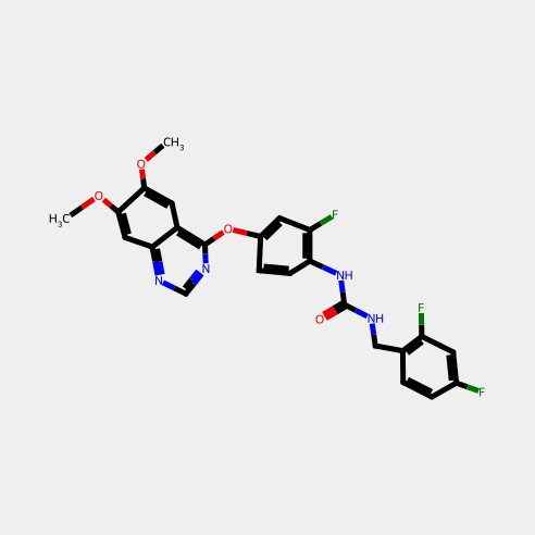 COc1cc2ncnc(Oc3ccc(NC(=O)NCc4ccc(F)cc4F)c(F)c3)c2cc1OC